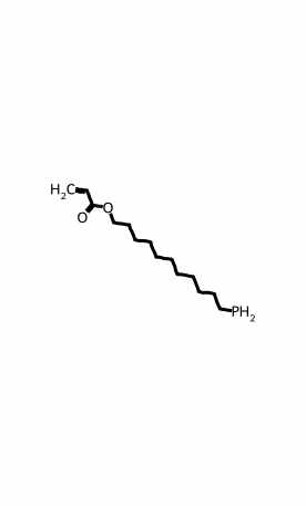 C=CC(=O)OCCCCCCCCCCCP